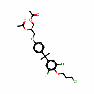 CC(=O)OC[C@@H](COc1ccc(C(C)(C)c2cc(Cl)c(OCCCCl)c(Cl)c2)cc1)OC(C)=O